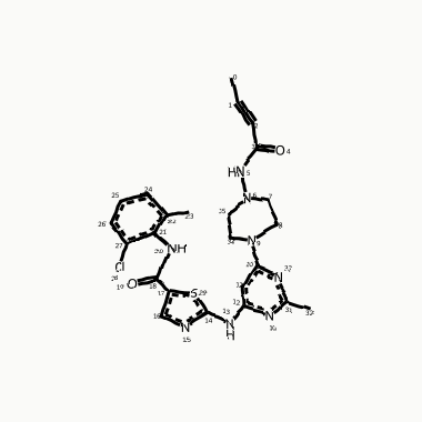 CC#CC(=O)NN1CCN(c2cc(Nc3ncc(C(=O)Nc4c(C)cccc4Cl)s3)nc(C)n2)CC1